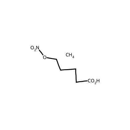 C.O=C(O)CCCCO[N+](=O)[O-]